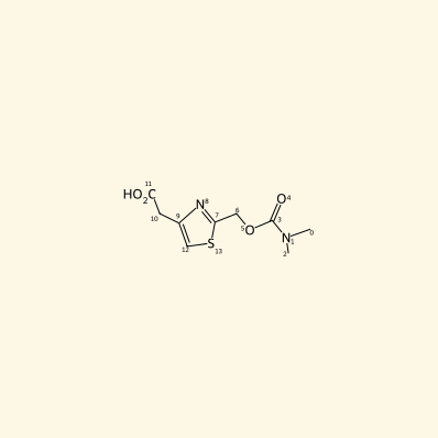 CN(C)C(=O)OCc1nc(CC(=O)O)cs1